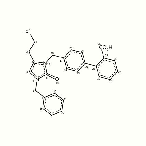 CC(C)CCc1cn(Cc2ccccc2)c(=O)n1Cc1ccc(-c2ccccc2C(=O)O)cc1